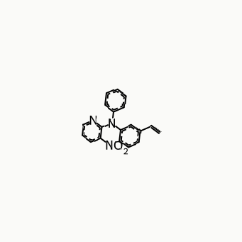 C=Cc1cccc(N(c2ccccc2)c2ncccc2[N+](=O)[O-])c1